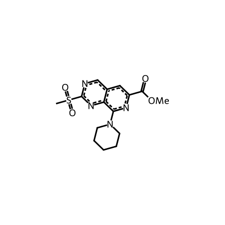 COC(=O)c1cc2cnc(S(C)(=O)=O)nc2c(N2CCCCC2)n1